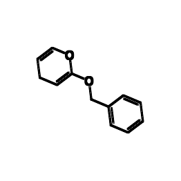 C1=COC(OCc2ccccc2)=CC1